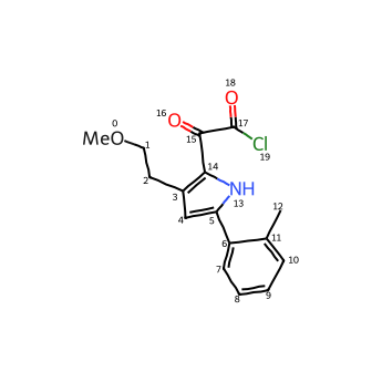 COCCc1cc(-c2ccccc2C)[nH]c1C(=O)C(=O)Cl